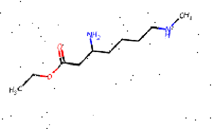 CCOC(=O)CC(N)CCCCNC